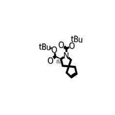 CC(C)(C)OC(=O)[C@@H]1CC2(CC=CC2)CN1C(=O)OC(C)(C)C